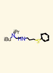 CCC(C)N(CCNCCCSc1ccccc1)C(C)C